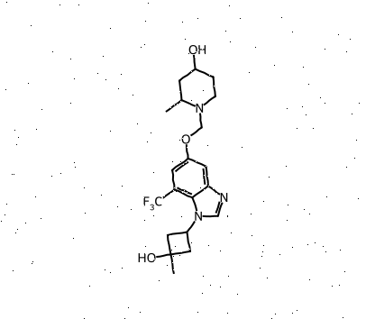 CC1CC(O)CCN1COc1cc(C(F)(F)F)c2c(c1)ncn2C1CC(C)(O)C1